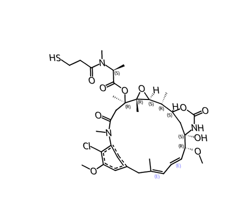 COc1cc2cc(c1Cl)N(C)C(=O)C[C@@](C)(OC(=O)[C@H](C)N(C)C(=O)CCS)[C@]1(C)O[C@H]1[C@H](C)[C@@H]1C[C@@](O)(NC(=O)O1)[C@H](OC)/C=C/C=C(\C)C2